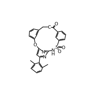 Cc1cccc(C)c1-c1cc2nc(n1)NS(=O)(=O)c1cccc(c1)C(=O)CCc1cccc(c1)O2